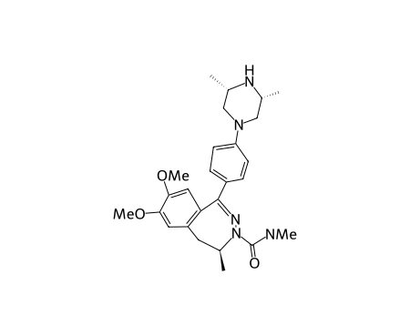 CNC(=O)N1N=C(c2ccc(N3C[C@@H](C)N[C@@H](C)C3)cc2)c2cc(OC)c(OC)cc2C[C@@H]1C